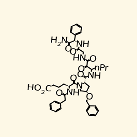 CCCC(NC(=O)[C@@H]1C[C@@H](OCc2ccccc2)CN1C(=O)[C@H](CCCC(=O)O)NC(=O)Cc1ccccc1)C(=O)C(=O)NCC(=O)N[C@H](C(N)=O)c1ccccc1